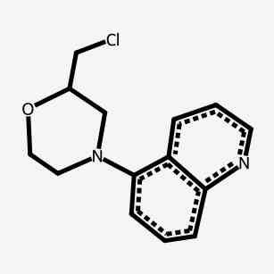 ClCC1CN(c2cccc3ncccc23)CCO1